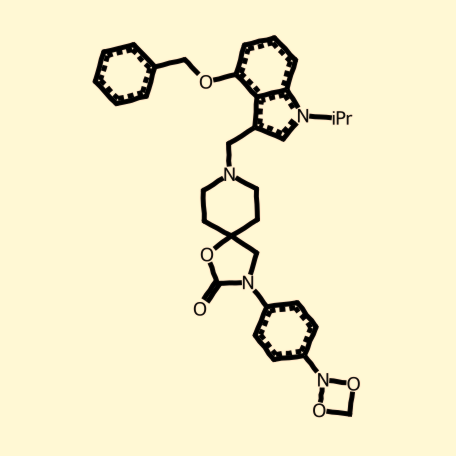 CC(C)n1cc(CN2CCC3(CC2)CN(c2ccc(N4OCO4)cc2)C(=O)O3)c2c(OCc3ccccc3)cccc21